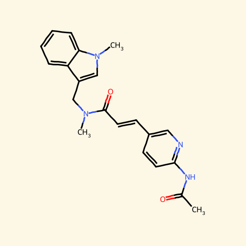 CC(=O)Nc1ccc(C=CC(=O)N(C)Cc2cn(C)c3ccccc23)cn1